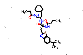 C=CC(=O)NCC(CC1CCCCC1)NC(=O)[C@H](Cc1nc2ccc(C(C)C)cc2s1)NC(=O)CCC